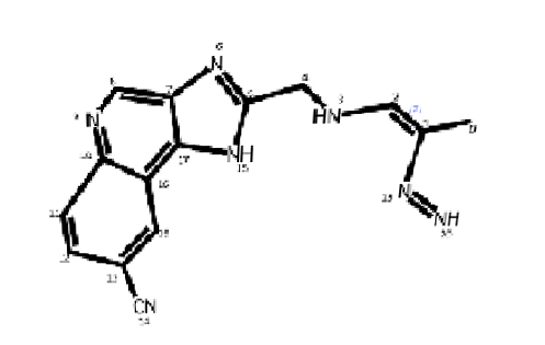 C/C(=C/NCc1nc2cnc3ccc(C#N)cc3c2[nH]1)N=N